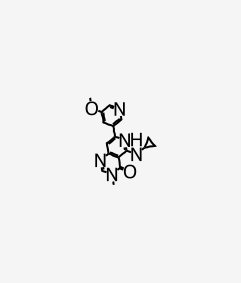 COc1cncc(-c2cc3ncn(C)c(=O)c3c(NC3CC3)n2)c1